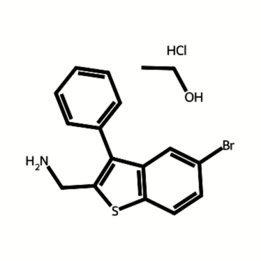 CCO.Cl.NCc1sc2ccc(Br)cc2c1-c1ccccc1